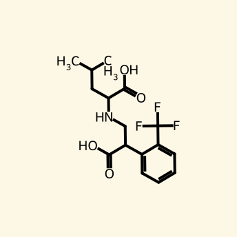 CC(C)CC(NCC(C(=O)O)c1ccccc1C(F)(F)F)C(=O)O